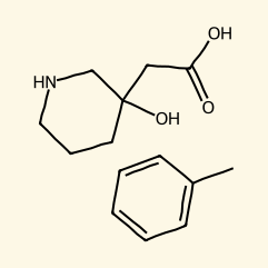 Cc1ccccc1.O=C(O)CC1(O)CCCNC1